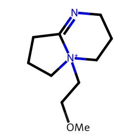 COCC[N+]12CCCN=C1CCC2